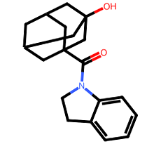 O=C(N1CCc2ccccc21)C12CC3CC(CC(O)(C3)C1)C2